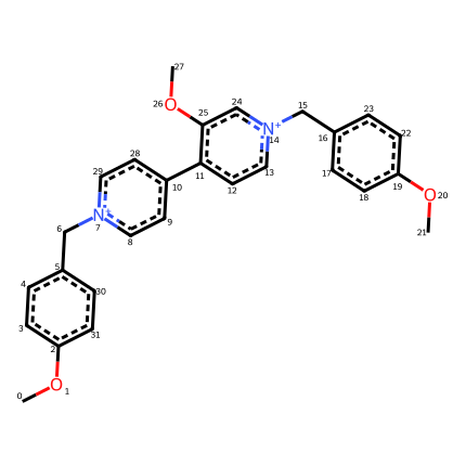 COc1ccc(C[n+]2ccc(-c3cc[n+](Cc4ccc(OC)cc4)cc3OC)cc2)cc1